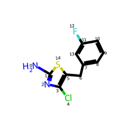 Nc1nc(Cl)c(Cc2cccc(F)c2)s1